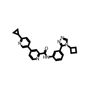 O=C(Nc1cccc(-c2nncn2C2CCC2)c1)c1cc(-c2ccc(C3CC3)nc2)ccn1